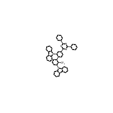 FC(F)(F)c1c(-c2ccc(-c3nc(-c4ccccc4)nc(-c4ccccc4)n3)cc2-n2c3ccccc3c3ccccc32)cccc1-n1c2ccccc2c2ccccc21